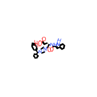 O=C(O)CC[C@H](NC(=O)c1cc2ccccc2[nH]1)C(=O)N1CCN(C(c2ccccc2)c2ccccc2)CC1